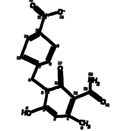 Cc1cc(O)n(Cc2ccc([N+](=O)[O-])cc2)c(=O)c1C(N)=O